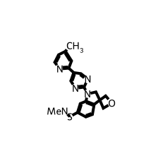 CNSc1ccc2c(c1)N(c1ncc(-c3cc(C)ccn3)cn1)CC21COC1